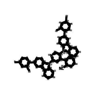 Cc1ccc(-c2ccc3c(c2)c2ccccc2n3-c2cc(-c3ccccc3C#N)c(-n3c4ccccc4c4cc(-c5ccc(C)cc5C)ccc43)cn2)c(C)c1